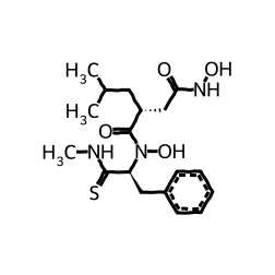 CNC(=S)[C@H](Cc1ccccc1)N(O)C(=O)[C@@H](CC(=O)NO)CC(C)C